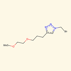 CSOCCOCCCc1cn(CC(C)C)nn1